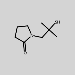 CC(C)(S)CN1CCCC1=O